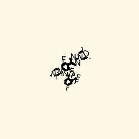 C[C@@H]1CN(c2ncc(-c3c(F)cc(N4CCN(C)[C@@H](C)C4)c(NC(=O)c4ccc(F)cc4C(F)(F)F)c3F)cn2)C[C@@H](C)O1